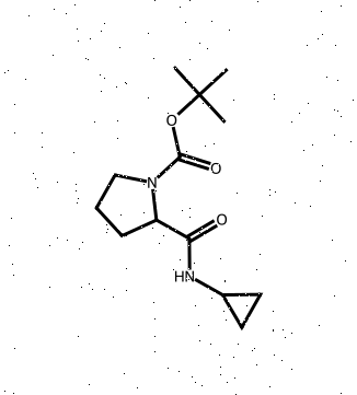 CC(C)(C)OC(=O)N1CCCC1C(=O)NC1CC1